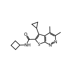 Cc1nnc2sc(C(=O)NC3CCC3)c(C3CC3)c2c1C